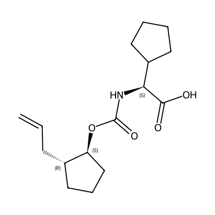 C=CC[C@H]1CCC[C@@H]1OC(=O)N[C@H](C(=O)O)C1CCCC1